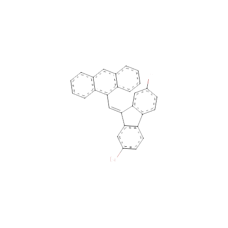 Brc1ccc2c(c1)C(=Cc1c3ccccc3cc3ccccc13)c1cc(Br)ccc1-2